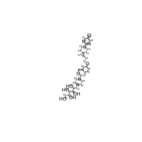 O=C(Cc1ccc(OCCC2CC23CCN(c2ncc(Cl)cn2)CC3)cc1F)N1CCN(C[C@H](O)[C@@H](O)[C@H](O)[C@H](O)CO)CC1